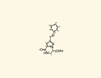 COC1CNC(=O)c2cc(COc3ccccc3)nn21